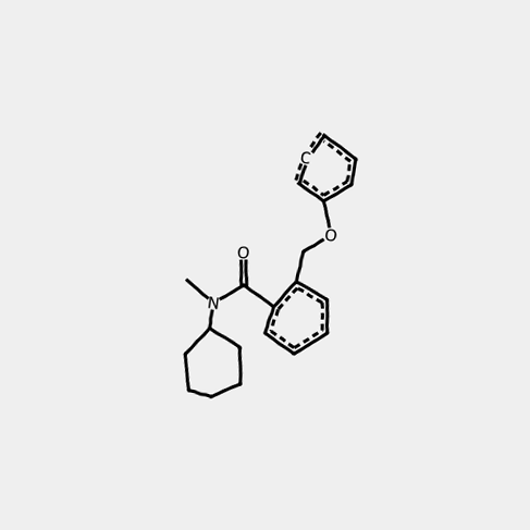 CN(C(=O)c1ccccc1COc1ccccc1)C1CCCCC1